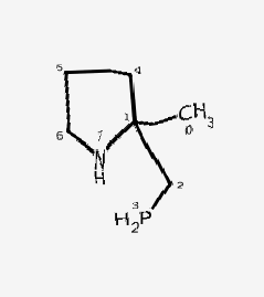 CC1(CP)CCCN1